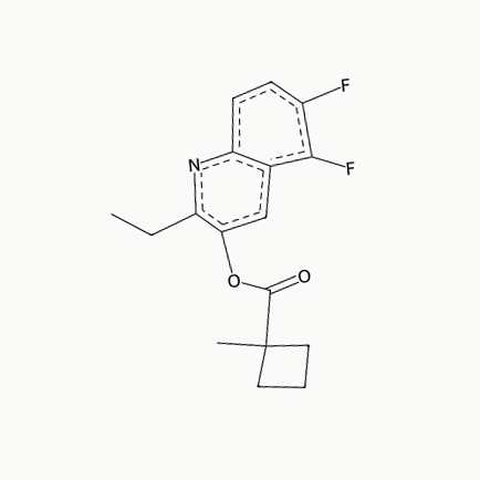 CCc1nc2ccc(F)c(F)c2cc1OC(=O)C1(C)CCC1